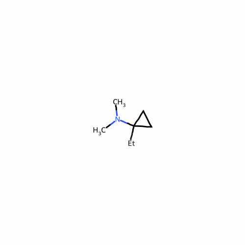 CCC1(N(C)C)CC1